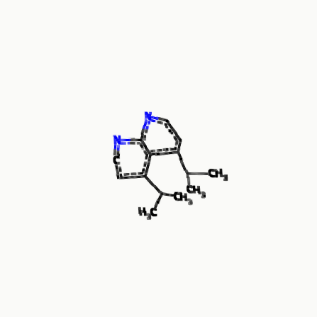 CC(C)c1ccnc2nccc(C(C)C)c12